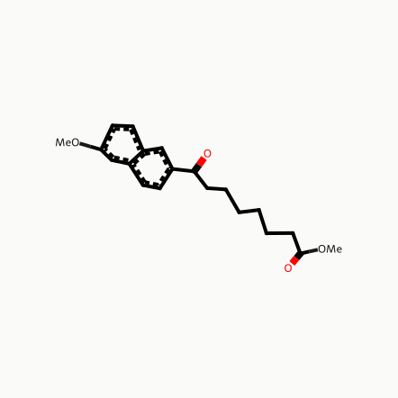 COC(=O)CCCCCCC(=O)c1ccc2cc(OC)ccc2c1